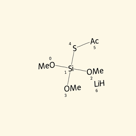 CO[Si](OC)(OC)SC(C)=O.[LiH]